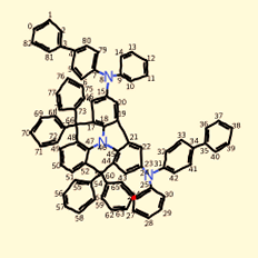 c1ccc(-c2ccc(N(c3ccccc3)c3cc4c5c(c3)c3cc(N(c6ccccc6)c6ccc(-c7ccccc7)cc6)cc6c3n5-c3c(cccc3C6(c3ccccc3)c3ccccc3)C4(c3ccccc3)c3ccccc3)cc2)cc1